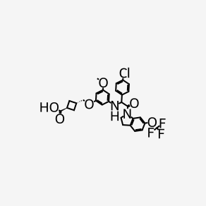 COc1cc(NC(C(=O)N2CCc3ccc(OC(F)(F)F)cc32)c2ccc(Cl)cc2)cc(OC[C@H]2C[C@H](C(=O)O)C2)c1